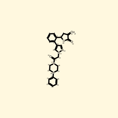 C=C1CC(c2ccccc2-c2cnn(CC(=O)N3CCN(c4ccccc4)CC3)c2)OC1=O